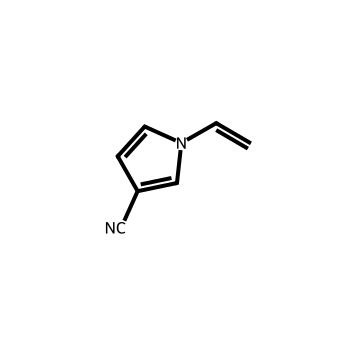 C=Cn1ccc(C#N)c1